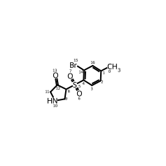 Cc1ccc(S(=O)(=O)C2CNCC2=O)c(Br)c1